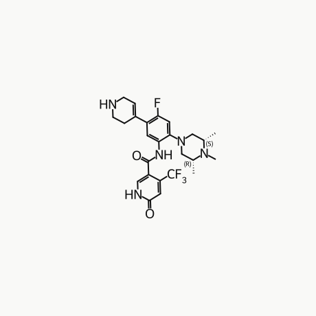 C[C@@H]1CN(c2cc(F)c(C3=CCNCC3)cc2NC(=O)c2c[nH]c(=O)cc2C(F)(F)F)C[C@H](C)N1C